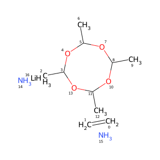 C=C.CC1OC(C)OC(C)OC(C)O1.N.N.[LiH]